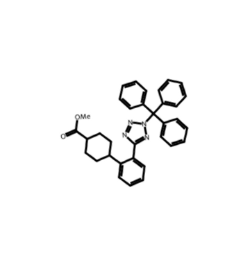 COC(=O)C1CCC(c2ccccc2-c2nnn(C(c3ccccc3)(c3ccccc3)c3ccccc3)n2)CC1